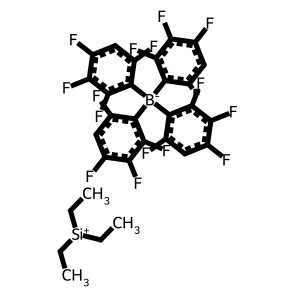 CC[Si+](CC)CC.Fc1cc(F)c([B-](c2c(F)cc(F)c(F)c2F)(c2c(F)cc(F)c(F)c2F)c2c(F)cc(F)c(F)c2F)c(F)c1F